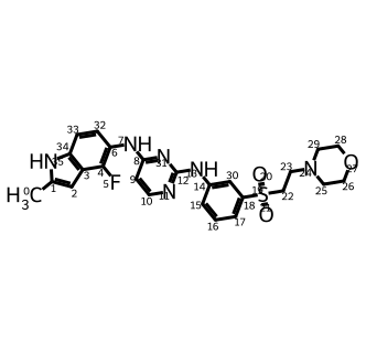 Cc1cc2c(F)c(Nc3ccnc(Nc4cccc(S(=O)(=O)CCN5CCOCC5)c4)n3)ccc2[nH]1